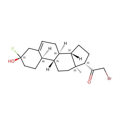 C[C@]12CC[C@H]3[C@@H](CC=C4C[C@@](O)(F)CC[C@@H]43)[C@@H]1CC[C@@H]2C(=O)CBr